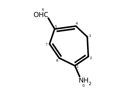 NC1=CCC=C(C=O)C=C1